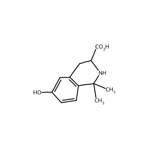 CC1(C)NC(C(=O)O)Cc2cc(O)ccc21